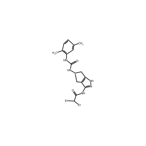 CCC(CC)C(=O)Nc1n[nH]c2c1CN(NC(=O)Nc1cc(C)ccc1C)C2